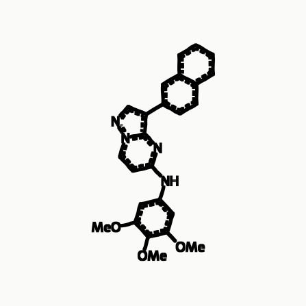 COc1cc(Nc2ccn3ncc(-c4ccc5ccccc5c4)c3n2)cc(OC)c1OC